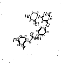 CC[C@H]1CNCCN1c1cc(Oc2ccc(NC(=O)Cc3ccc(F)cc3F)cc2)ncn1